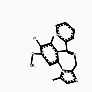 Cc1c(Cl)c(OC(F)(F)F)cc2c1C(c1ccccn1)=NCc1ncc(C)n1-2